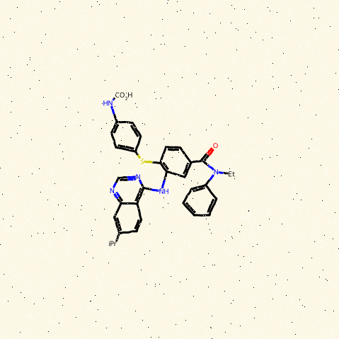 CCN(C(=O)c1ccc(Sc2ccc(NC(=O)O)cc2)c(Nc2ncnc3cc(C(C)C)ccc23)c1)c1ccccc1